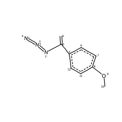 C=C(N=[N+]=[N-])c1ccc(OC)cc1